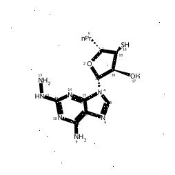 CCC[C@H]1O[C@@H](n2cnc3c(N)nc(NN)nc32)[C@H](O)[C@@H]1S